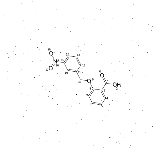 O=C(O)c1ccccc1OCc1cccc([N+](=O)[O-])c1